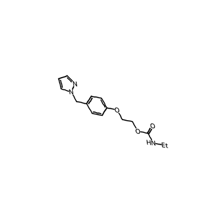 CCNC(=O)OCCOc1ccc(Cn2cccn2)cc1